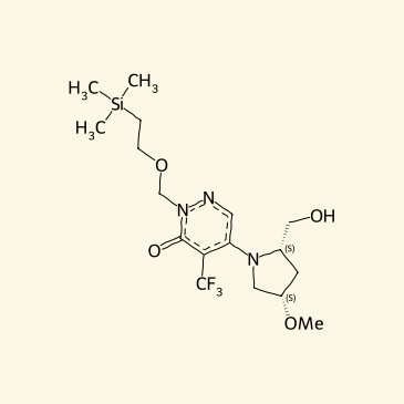 CO[C@H]1C[C@@H](CO)N(c2cnn(COCC[Si](C)(C)C)c(=O)c2C(F)(F)F)C1